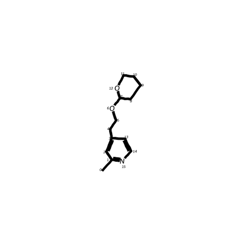 Cc1cc(CCOC2CCCCO2)ccn1